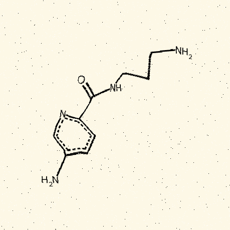 NCCCNC(=O)c1ccc(N)cn1